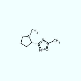 Cc1nc([C@@H]2CCCN2C)no1